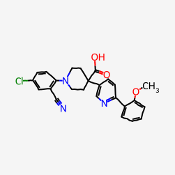 COc1ccccc1-c1ccc(C2(C(=O)O)CCN(c3ccc(Cl)cc3C#N)CC2)cn1